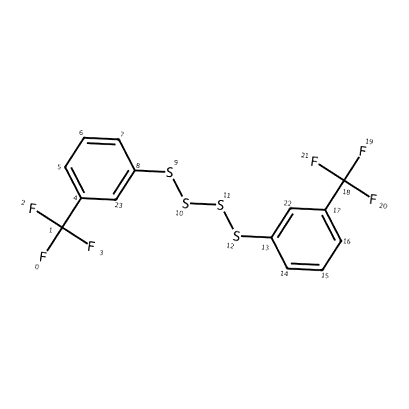 FC(F)(F)c1cccc(SSSSc2cccc(C(F)(F)F)c2)c1